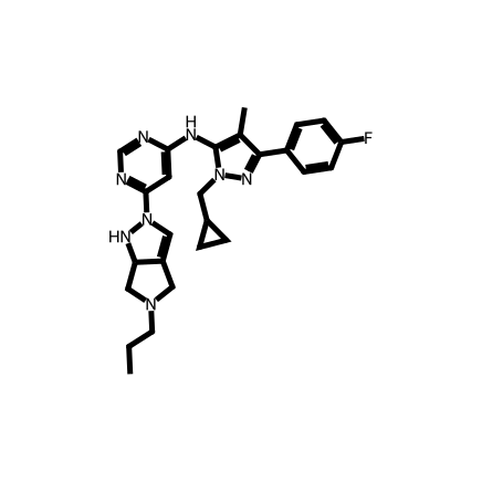 CCCN1CC2=CN(c3cc(Nc4c(C)c(-c5ccc(F)cc5)nn4CC4CC4)ncn3)NC2C1